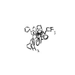 CC(C)[C@H](C(=O)C(F)(F)C(=O)NCC(F)(F)F)C(N)[C@@H](Cc1ccccc1)C(N)CC(c1ccccc1)c1ccc(Cl)c(Cl)c1